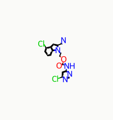 N#Cc1cc2c(Cl)cccc2n1CCOC(=O)Nc1cc(Cl)ncn1